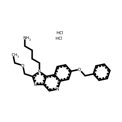 CCOCc1nc2cnc3cc(OCc4ccccc4)ccc3c2n1CCCCN.Cl.Cl